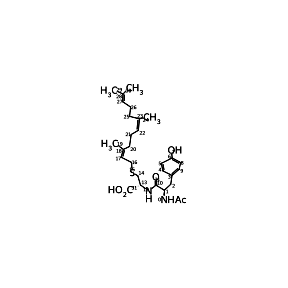 CC(=O)N[C@H](Cc1ccc(O)cc1)C(=O)N[C@@H](CSCC=C(C)CCC=C(C)CCC=C(C)C)C(=O)O